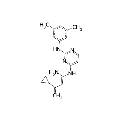 C=C(/C=C(\N)Nc1ccnc(Nc2cc(C)cc(C)c2)n1)C1CC1